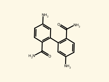 NC(=O)c1ccc(N)cc1-c1cc(N)ccc1C(N)=O